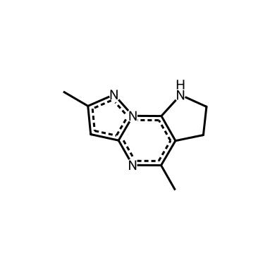 Cc1cc2nc(C)c3c(n2n1)NCC3